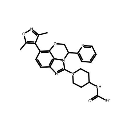 Cc1noc(C)c1-c1ccc2nc(N3CCC(NC(=O)C(C)C)CC3)n3c2c1OCC3c1ccccn1